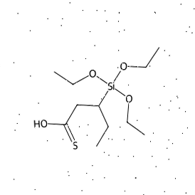 CCO[Si](OCC)(OCC)C(CC)CC(O)=S